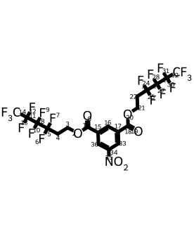 O=C(OCCC(F)(F)C(F)(F)C(F)(F)C(F)(F)F)c1cc(C(=O)OCCC(F)(F)C(F)(F)C(F)(F)C(F)(F)F)cc([N+](=O)[O-])c1